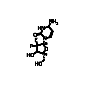 NC1C=CN([C@@H]2O[C@H](CO)C(O)C2(F)F)C(=O)N1